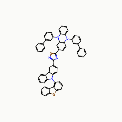 c1ccc(-c2cccc(N3c4ccccc4N(c4cccc(-c5ccccc5)c4)c4cc(-c5nc(-c6ccc7c(c6)c6ccccc6n7-c6cccc7sc8ccccc8c67)ns5)ccc43)c2)cc1